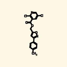 Cc1ccc(-c2cc(COC(=O)c3cc(Cl)cnc3Cl)on2)cc1